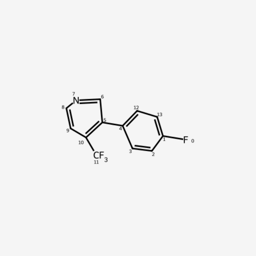 Fc1ccc(-c2cnccc2C(F)(F)F)cc1